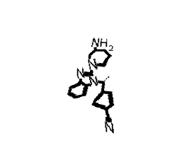 C[C@H](c1ccc(C#N)cc1)n1c(N2CCCC(N)C2)nc2ccccc21